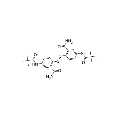 CC(C)(C)C(=O)Nc1ccc(SSc2ccc(NC(=O)C(C)(C)C)cc2C(N)=O)c(C(N)=O)c1